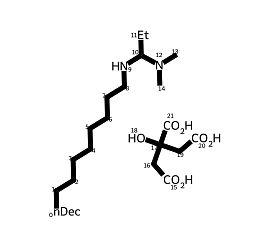 CCCCCCCCCCCCCCCCCCNC(CC)N(C)C.O=C(O)CC(O)(CC(=O)O)C(=O)O